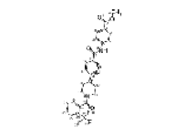 COC(=O)c1ccc(NC(=O)c2ccc(N3CCN(C(=O)c4ccccc4C(F)(F)F)CC3)nn2)cc1